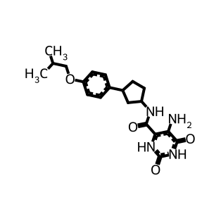 CC(C)COc1ccc(C2CCC(NC(=O)c3[nH]c(=O)[nH]c(=O)c3N)C2)cc1